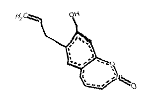 C=CCc1cc2cc[n+](=O)oc2cc1O